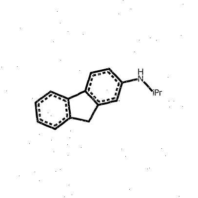 CC(C)Nc1[c]c2c(cc1)-c1ccccc1C2